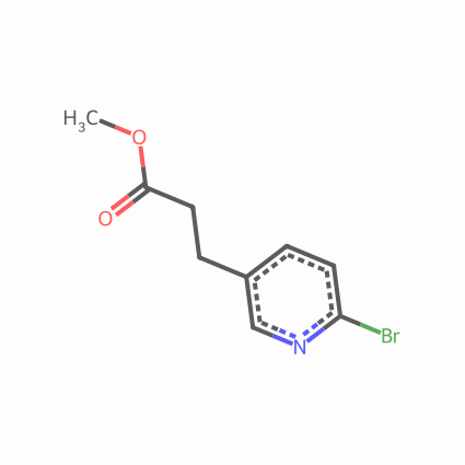 COC(=O)CCc1ccc(Br)nc1